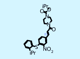 CC(C)OC(=O)N1CCN(C(=O)/C=C/c2ccc(Sc3ccccc3C(C)C)c([N+](=O)[O-])c2)CC1